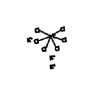 [Cl][Ir-3]([Cl])([Cl])([Cl])([Cl])[Cl].[K+].[K+].[K+]